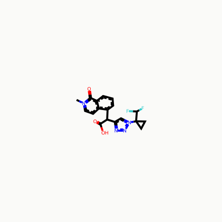 Cn1ccc2c(C(C(=O)O)c3cn(C4(C(F)F)CC4)nn3)cccc2c1=O